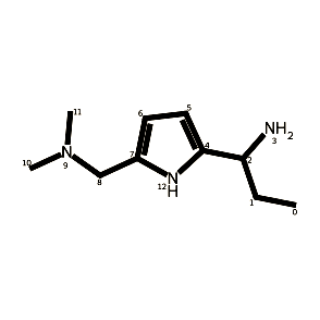 CCC(N)c1ccc(CN(C)C)[nH]1